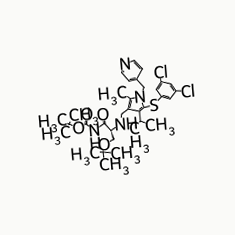 Cc1c(CN[C@@H](COC(C)(C)C)C(=O)NC(=O)OC(C)(C)C)c(C(C)C)c(Sc2cc(Cl)cc(Cl)c2)n1Cc1ccncc1